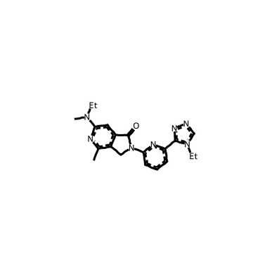 CCN(C)c1cc2c(c(C)n1)CN(c1cccc(-c3nncn3CC)n1)C2=O